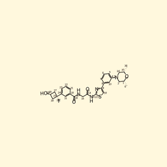 C[C@@H]1CN(c2cccc(-c3csc(NC(=O)CNC(=O)c4cccc([C@]5(F)C[C@H](O)C5)c4)n3)c2)C[C@H](C)O1